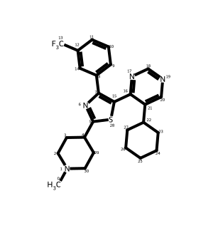 CN1CCC(c2nc(-c3cccc(C(F)(F)F)c3)c(-c3n[c]ncc3C3CCCCC3)s2)CC1